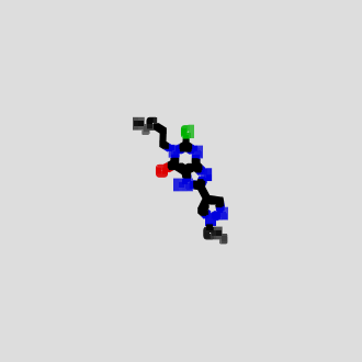 CCCn1c(Cl)nc2nc(-c3cnn(C)c3)[nH]c2c1=O